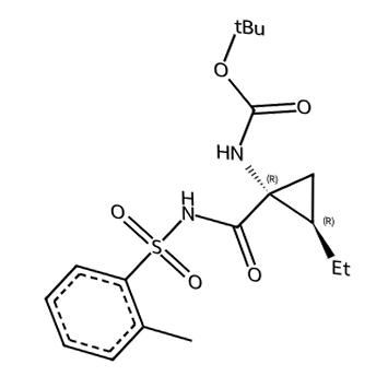 CC[C@@H]1C[C@]1(NC(=O)OC(C)(C)C)C(=O)NS(=O)(=O)c1ccccc1C